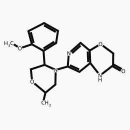 COc1ccccc1C1COC(C)CN1c1cc2c(cn1)OCC(=O)N2